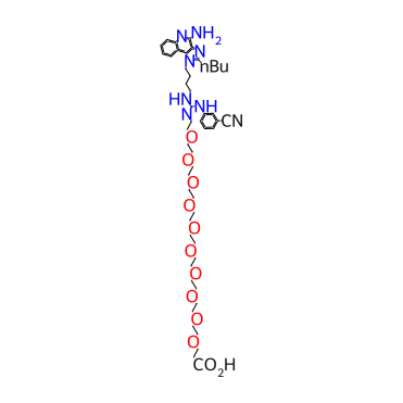 CCCCc1nc2c(N)nc3ccccc3c2n1CCCCN/C(=N/CCOCCOCCOCCOCCOCCOCCOCCOCCOCCOCCC(=O)O)Nc1cccc(C#N)c1